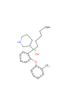 COCCCC[C@@](O)(c1ccccc1Oc1ccccc1C(F)(F)F)C1CCCNC1